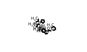 CCC1CN(C)C2=C(N[C@@](N)(Nc3cc4c(ccn4C(=O)CN4CCCC(C)C4)cc3OC)NC2=O)N1C1CCCC1